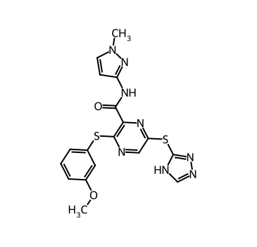 COc1cccc(Sc2ncc(Sc3nnc[nH]3)nc2C(=O)Nc2ccn(C)n2)c1